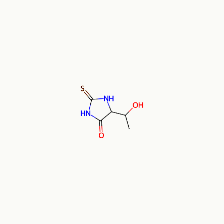 CC(O)C1NC(=S)NC1=O